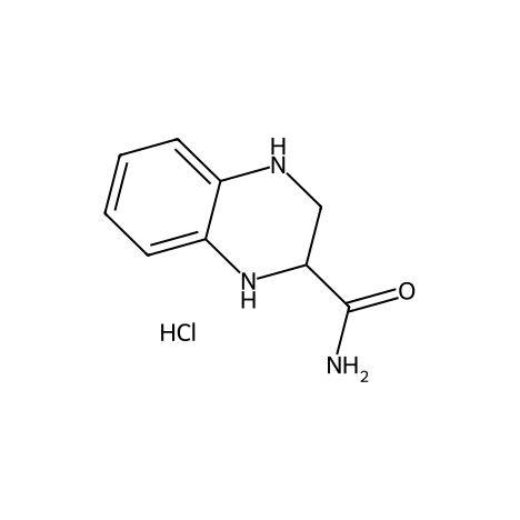 Cl.NC(=O)C1CNc2ccccc2N1